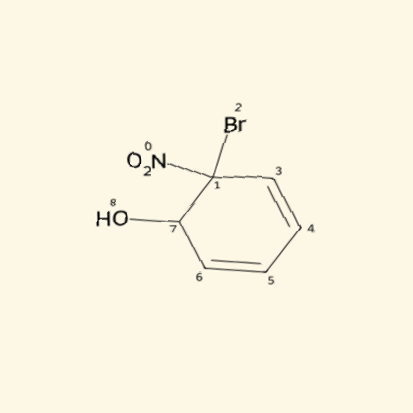 O=[N+]([O-])C1(Br)C=CC=CC1O